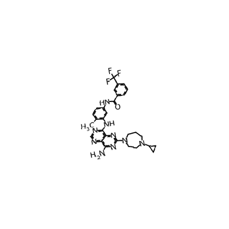 Cc1ccc(NC(=O)c2cccc(C(F)(F)F)c2)cc1Nc1ncnc2c(N)nc(N3CCCN(C4CC4)CC3)nc12